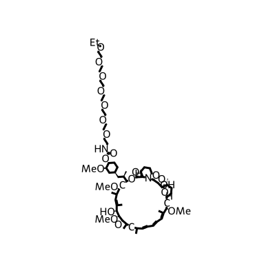 CCOCCOCCOCCOCCOCCOCCOCCNC(=O)O[C@@H]1CC[C@@H](C[C@@H](C)[C@@H]2C[C@@H](OC)C(C)/C=C(\C)[C@@H](O)[C@@H](OC)C(=O)C(C)CC(C)/C=C/C=C/C=C(\C)[C@@H](OC)C[C@@H]3CC[C@@H](C)[C@@](O)(O3)C(=O)C(=O)N3CCCC[C@H]3C(=O)O2)C[C@H]1OC